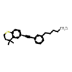 CCOC(=O)CCCCc1cccc(C#Cc2ccc3c(c2)C(C)(C)CCS3)c1